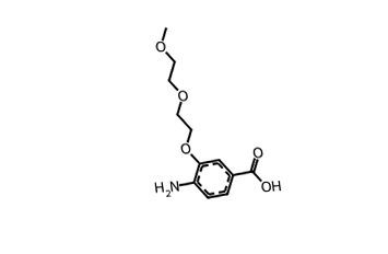 COCCOCCOc1cc(C(=O)O)ccc1N